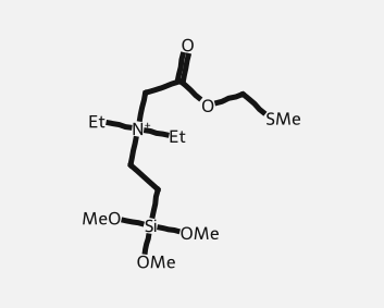 CC[N+](CC)(CC[Si](OC)(OC)OC)CC(=O)OCSC